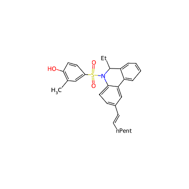 CCCCC/C=C/c1ccc2c(c1)-c1ccccc1C(CC)N2S(=O)(=O)c1ccc(O)c(C)c1